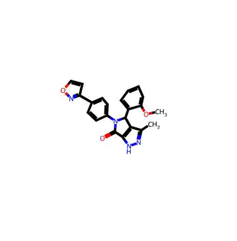 COc1ccccc1C1c2c(C)n[nH]c2C(=O)N1c1ccc(-c2ccon2)cc1